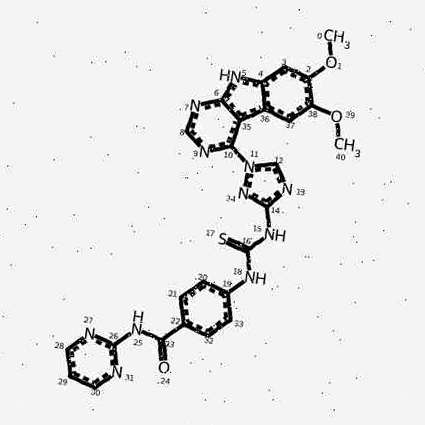 COc1cc2[nH]c3ncnc(-n4cnc(NC(=S)Nc5ccc(C(=O)Nc6ncccn6)cc5)n4)c3c2cc1OC